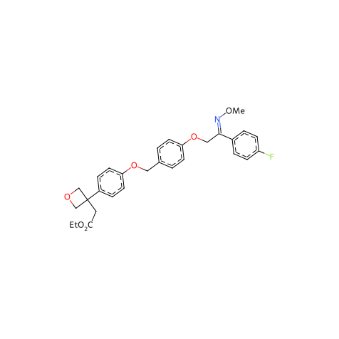 CCOC(=O)CC1(c2ccc(OCc3ccc(OCC(=NOC)c4ccc(F)cc4)cc3)cc2)COC1